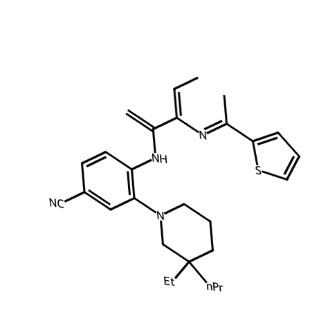 C=C(Nc1ccc(C#N)cc1N1CCCC(CC)(CCC)C1)C(=C/C)/N=C(\C)c1cccs1